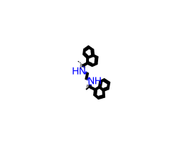 C[C@@H](NCCN[C@H](C)c1cccc2ccccc12)c1cccc2ccccc12